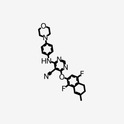 CC1=Cc2c(F)c(Oc3ncnc(Nc4ccc(N5CCOCC5)cc4)c3C#N)cc(F)c2CC1